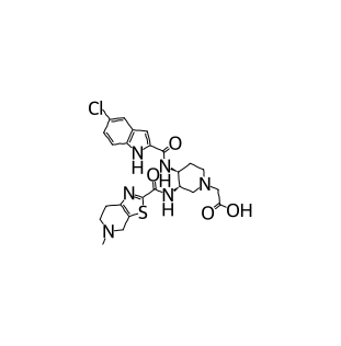 CN1CCc2nc(C(=O)N[C@@H]3CN(CC(=O)O)CC[C@@H]3NC(=O)c3cc4cc(Cl)ccc4[nH]3)sc2C1